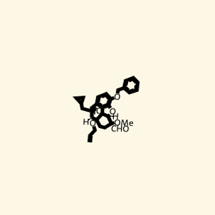 C=CCO[C@@]12CCC(C=O)(OC)[C@@H]3Oc4c(OCc5ccccc5)ccc5c4[C@@]31CCN(CC1CC1)[C@@H]2C5